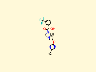 O=C([C@@H](O)c1cccc(C(F)(F)F)c1)N1CCN2C[C@H](Oc3cnc(C4CC4)cn3)C[C@H]2C1